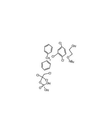 CCCCOCCO.Cc1ccccc1.Clc1ccc(Cl)c(Cl)c1.O=P(O)(O)OC(Cl)(Cl)CCl.c1ccccc1